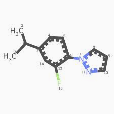 CC(C)c1ccc(-n2cccn2)c(F)c1